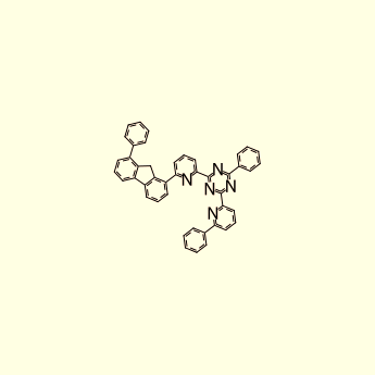 c1ccc(-c2cccc(-c3nc(-c4ccccc4)nc(-c4cccc(-c5cccc6c5Cc5c(-c7ccccc7)cccc5-6)n4)n3)n2)cc1